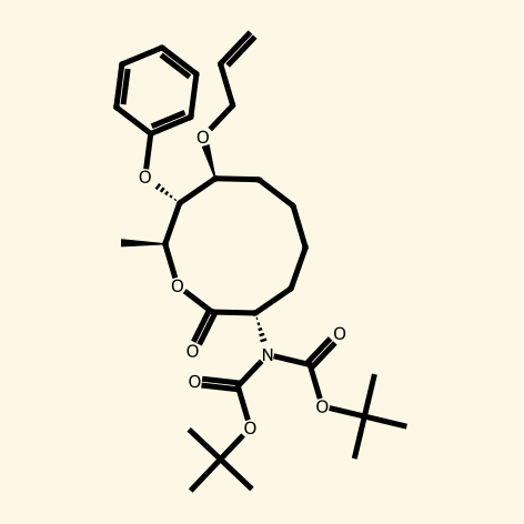 C=CCO[C@H]1CCCC[C@H](N(C(=O)OC(C)(C)C)C(=O)OC(C)(C)C)C(=O)O[C@@H](C)[C@@H]1Oc1ccccc1